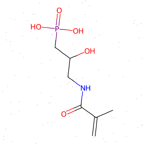 C=C(C)C(=O)NCC(O)CP(=O)(O)O